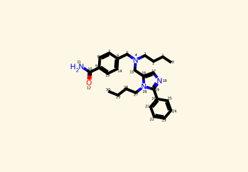 CCCCN(Cc1ccc(C(N)=O)cc1)Cc1cnc(-c2ccccc2)n1CCCC